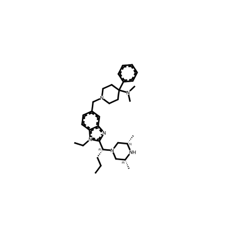 CCC[C@H](c1nc2cc(CN3CCC(c4ccccc4)(N(C)C)CC3)ccc2n1CC)N1C[C@@H](C)N[C@@H](C)C1